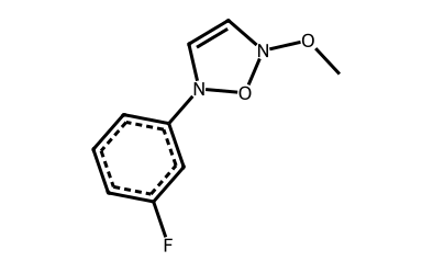 CON1C=CN(c2cccc(F)c2)O1